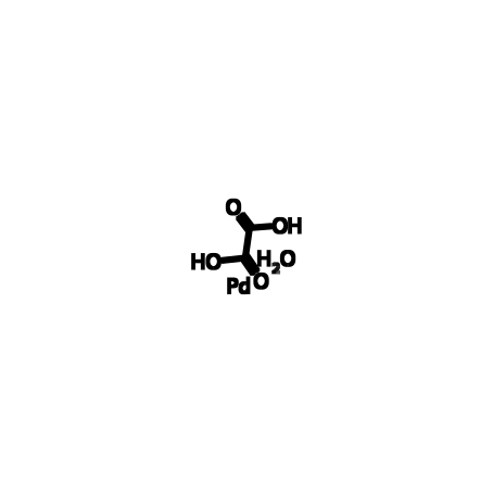 O.O=C(O)C(=O)O.[Pd]